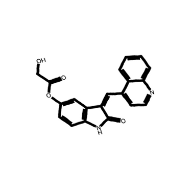 O=C(CO)Oc1ccc2c(c1)C(=Cc1ccnc3ccccc13)C(=O)N2